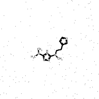 CN(C)c1nnc(N(C)CCc2ccoc2)[nH]1